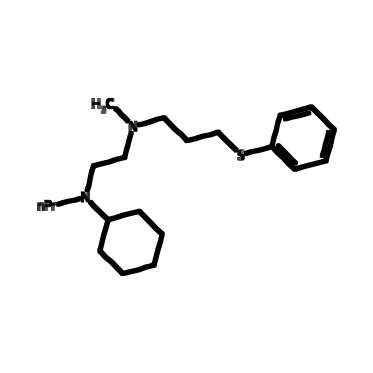 CCCN(CCN(C)CCCSc1ccccc1)C1CCCCC1